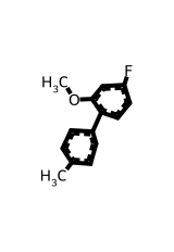 COc1cc(F)ccc1-c1ccc(C)cc1